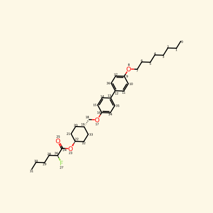 CCCCCCCCOc1ccc(-c2ccc(OC[C@H]3CC[C@H](OC(=O)[C@@H](F)CCCC)CC3)cc2)cc1